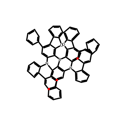 c1ccc(-c2cc3c4c(c2)N(c2ccccc2-c2ccccc2)c2cc(-c5ccccc5)c5c(oc6ccccc65)c2B4c2c(cc(-c4ccccc4)c4c2oc2ccccc24)N3c2ccccc2-c2ccccc2)cc1